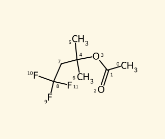 CC(=O)OC(C)(C)CC(F)(F)F